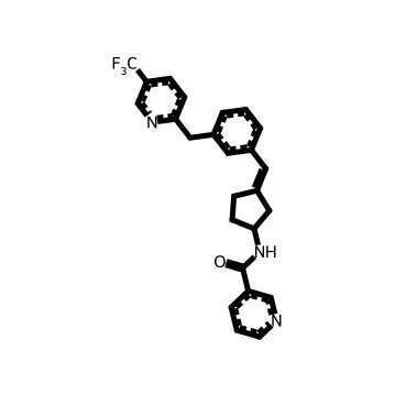 O=C(NC1CCC(=Cc2cccc(Cc3ccc(C(F)(F)F)cn3)c2)C1)c1cccnc1